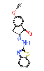 CC(C)Oc1ccc2c(c1)C/C(=N/Nc1nc3ccccc3s1)C2=O